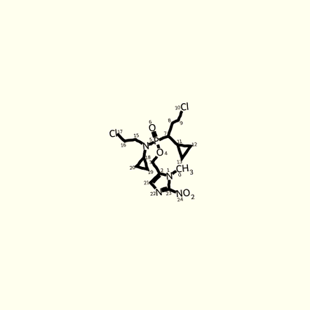 Cn1c(COP(=O)(C(CCCl)C2CC2)N(CCCl)C2CC2)cnc1[N+](=O)[O-]